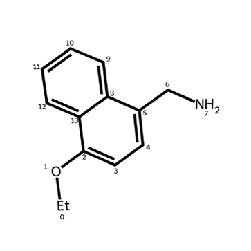 CCOc1ccc(CN)c2ccccc12